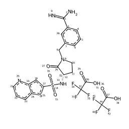 N=C(N)c1cccc(CN2CC[C@H](NS(=O)(=O)c3cc4ncccc4s3)C2=O)c1.O=C(O)C(F)(F)F.O=C(O)C(F)(F)F